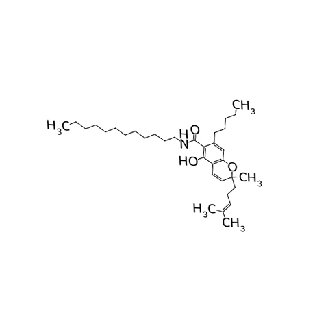 CCCCCCCCCCCCNC(=O)c1c(CCCCC)cc2c(c1O)C=CC(C)(CCC=C(C)C)O2